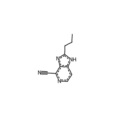 CCCc1nc2c(C#N)nccc2[nH]1